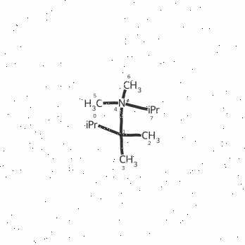 CC(C)C(C)(C)[N+](C)(C)C(C)C